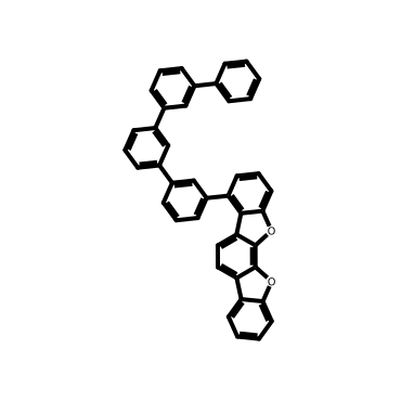 c1ccc(-c2cccc(-c3cccc(-c4cccc(-c5cccc6oc7c(ccc8c9ccccc9oc87)c56)c4)c3)c2)cc1